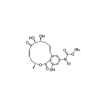 CCN(C(=O)OC(C)(C)C)c1cc(O)c2c(c1)/C=C/C[C@H](O)[C@H](O)C(=O)/C=C\[C@@H](C)[C@H](C)OC2=O